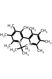 Cc1nc(-c2c(C)c(C)c(C)c(C)[n+]2C(C)(C)C)c(C)c(C)c1C